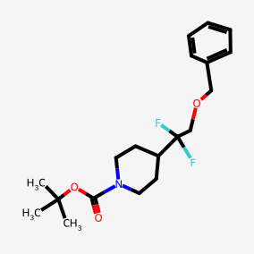 CC(C)(C)OC(=O)N1CCC(C(F)(F)COCc2ccccc2)CC1